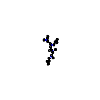 c1ccc(-n2c3ccc(-c4ccc5c(c4)c4ccc(-c6cc7c(c8ccccc68)c6cc(-c8ccc9c(c8)c8ccccc8n9-c8cccc(-c9ccc%10c%11c(cccc9%11)-c9ccccc9-%10)c8)ccc6n7-c6ccccc6)cc4n5-c4cccc(-c5ccc6c7c(cccc57)-c5ccccc5-6)c4)cc3c3cc4ccccc4cc32)cc1